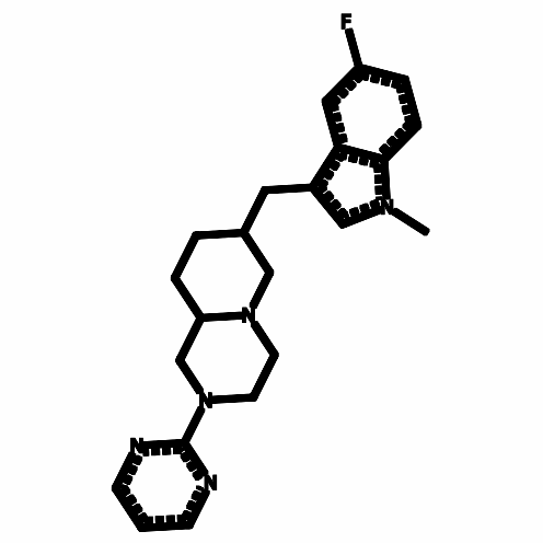 Cn1cc(CC2CCC3CN(c4ncccn4)CCN3C2)c2cc(F)ccc21